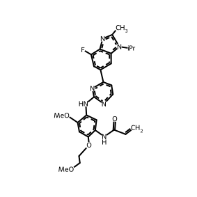 C=CC(=O)Nc1cc(Nc2nccc(-c3cc(F)c4nc(C)n(C(C)C)c4c3)n2)c(OC)cc1OCCOC